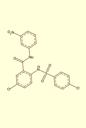 O=C(Nc1cccc([N+](=O)[O-])c1)c1cc(Cl)ccc1NS(=O)(=O)c1ccc(Cl)cc1